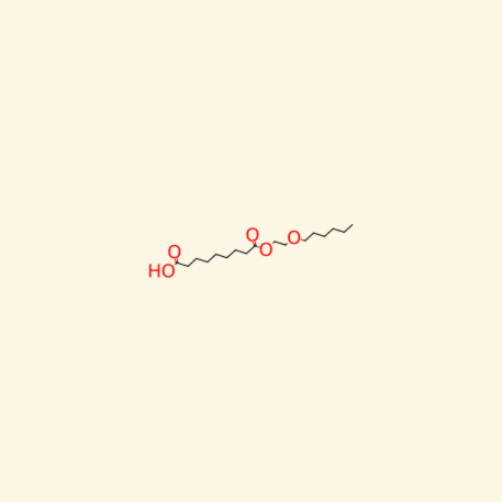 CCCCCCOCCOC(=O)CCCCCCCC(=O)O